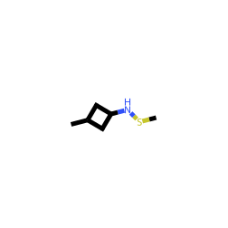 CSNC1CC(C)C1